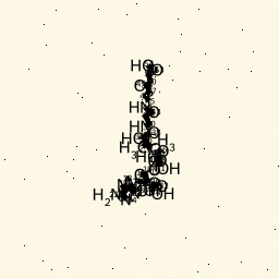 CC(C)(COP(=O)(O)OP(=O)(O)OC[C@H]1O[C@@H](n2cnc3c(N)ncnc32)[C@H](O)[C@@H]1OP(=O)(O)O)[C@@H](O)C(=O)NCCC(=O)NCCSC(=O)CCS(=O)O